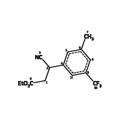 CCOC(=O)CC(C#N)c1cc(C)cc(C(F)(F)F)c1